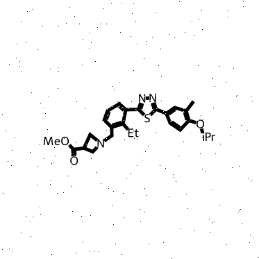 CCc1c(CN2CC(C(=O)OC)C2)cccc1-c1nnc(-c2ccc(OC(C)C)c(C)c2)s1